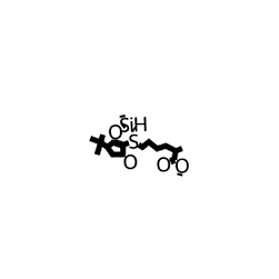 COC(=O)C(C)CCCCSC1=C(O[SiH](C)C)C(C(C)(C)C)CC1=O